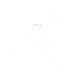 CC1(C)c2ccccc2-c2ccc(N(c3ccc(-c4ccccc4)cc3)c3ccc4c(c3)-c3ccccc3C43c4ccccc4Sc4ccc5ccccc5c43)cc21